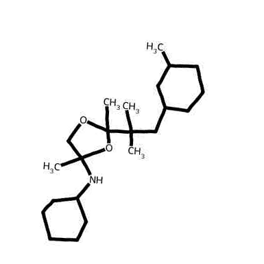 CC1CCCC(CC(C)(C)C2(C)OCC(C)(NC3CCCCC3)O2)C1